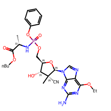 CCCCOC(=O)[C@H](C)NP(=O)(OC[C@H]1O[C@@H](n2cnc3c(OCC)nc(N)nc32)[C@](C)(C#N)[C@@H]1O)Oc1ccccc1